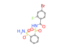 NS(=O)(=O)c1ccccc1S(=O)(=O)NC(=O)c1ccc(Br)cc1F